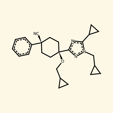 N#C[C@]1(c2ccccc2)CC[C@@](OCC2CC2)(c2nc(C3CC3)n(CC3CC3)n2)CC1